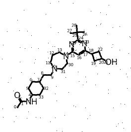 CC(=O)NC1CCC(CCN2CCCN(c3cc(C4CC(O)C4)nc(C(C)(C)C)n3)CC2)CC1